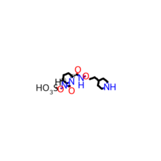 O=C(NOCCC1CCNCC1)[C@@H]1CC[C@@H]2CN1C(=O)N2OS(=O)(=O)O